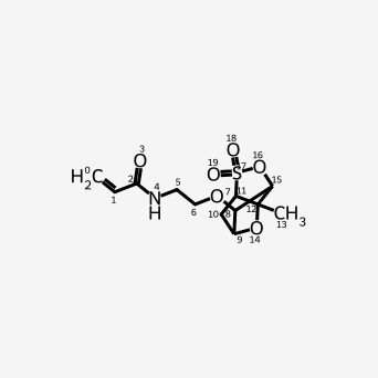 C=CC(=O)NCCOC1C2CC3C(C)(O2)C1OS3(=O)=O